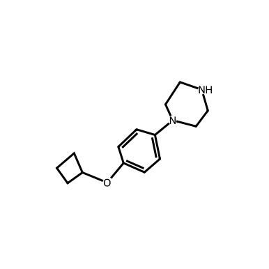 c1cc(N2CCNCC2)ccc1OC1CCC1